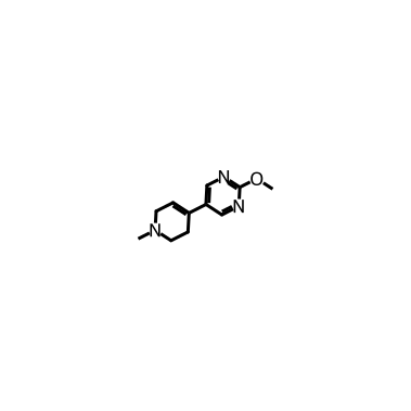 COc1ncc(C2=CCN(C)CC2)cn1